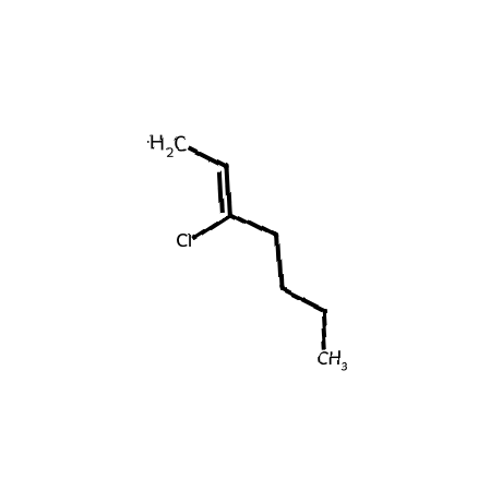 [CH2]C=C(Cl)CCCC